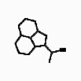 CC(O)C1CC2CCCC3CCCC1C32